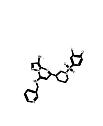 Bc1cnn2c(NCc3cccnc3)cc(C3CCCN(S(=O)(=O)c4ccc(Cl)c(Cl)c4)C3)nc12